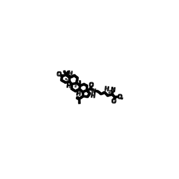 C=C(C)C1CCC2(C(=O)NCCCCC(N)C(=O)OC)CC[C@]3(C)[C@H](CC[C@@H]4[C@@]5(C)CCC(=O)C(C)(C)[C@@H]5CC[C@]43C)C12